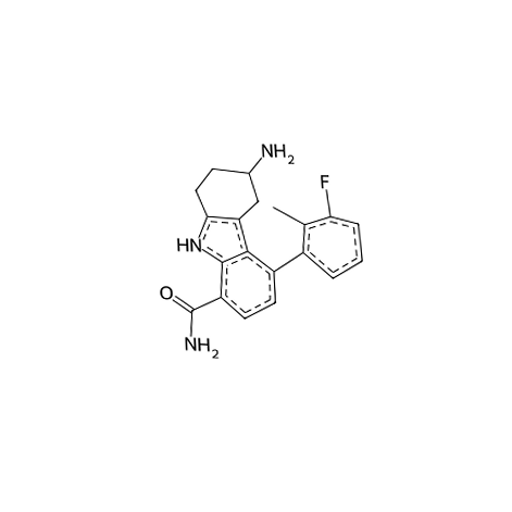 Cc1c(F)cccc1-c1ccc(C(N)=O)c2[nH]c3c(c12)CC(N)CC3